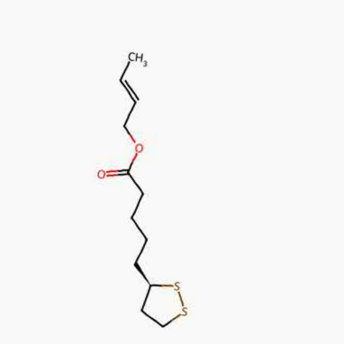 C/C=C/COC(=O)CCCC[C@@H]1CCSS1